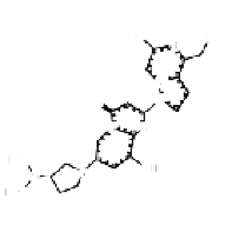 CCc1nc(C)c[n+]2c1ccn2-c1cc(=O)n2cc(N3CC[C@@H](N(C)C)C3)cc(C)c2n1